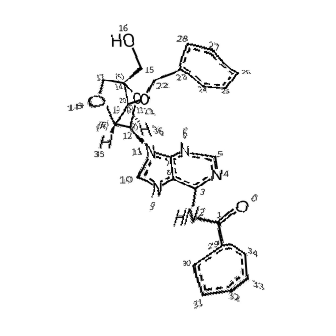 O=C(Nc1ncnc2c1ncn2[C@@H]1O[C@@]2(CO)CO[C@@H]1[C@@H]2OCc1ccccc1)c1ccccc1